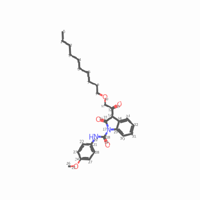 CCCCCCCCCCOCC(=O)C1C(=O)N(C(=O)Nc2ccc(OC)cc2)c2ccccc21